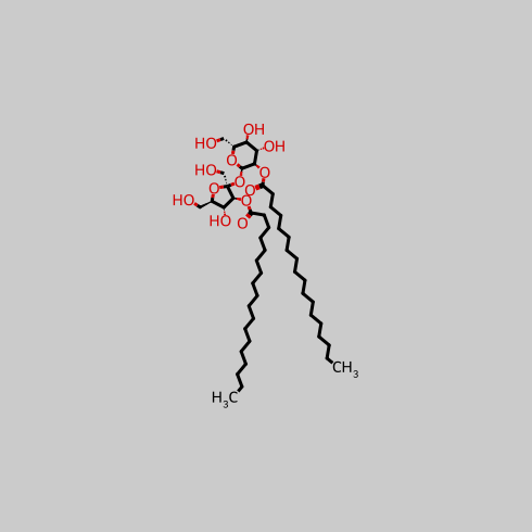 CCCCCCCCCCCCCCCCCC(=O)O[C@H]1[C@@H](O[C@]2(CO)O[C@H](CO)[C@@H](O)[C@@H]2OC(=O)CCCCCCCCCCCCCCCCC)O[C@H](CO)[C@@H](O)[C@@H]1O